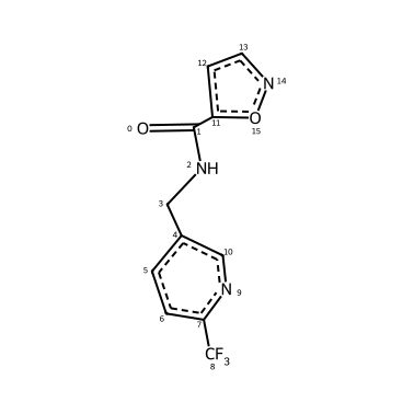 O=C(NCc1ccc(C(F)(F)F)nc1)c1ccno1